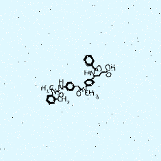 Cc1ccccc1N(C)C(=O)Nc1ccc(CC(=O)N(C)c2ccc(C(CCC(=O)O)NC(=O)c3ccccc3)cc2)cc1